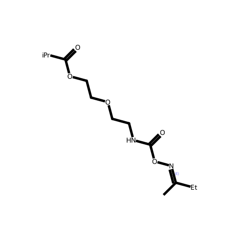 CC/C(C)=N/OC(=O)NCCOCCOC(=O)C(C)C